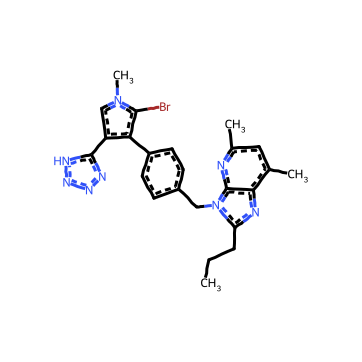 CCCc1nc2c(C)cc(C)nc2n1Cc1ccc(-c2c(-c3nnn[nH]3)cn(C)c2Br)cc1